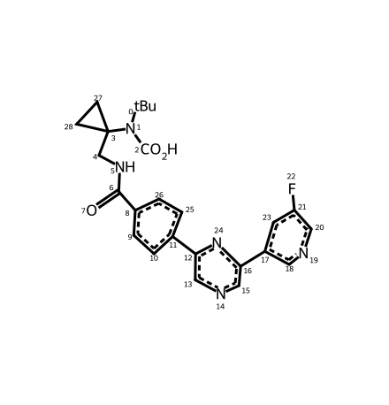 CC(C)(C)N(C(=O)O)C1(CNC(=O)c2ccc(-c3cncc(-c4cncc(F)c4)n3)cc2)CC1